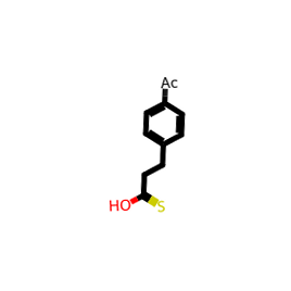 CC(=O)c1ccc(CCC(O)=S)cc1